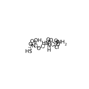 CC(CS)C(=O)N1CC(Oc2ccc(C3Nc4cc(Cl)c(S(N)(=O)=O)cc4S(=O)(=O)N3)cc2)C[C@H]1C(=O)O